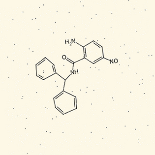 Nc1ccc(N=O)cc1C(=O)NC(c1ccccc1)c1ccccc1